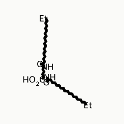 CCC=CCC=CCC=CCC=CCC=CCCCC(=O)NCCCC(NC(=O)CCCC=CCC=CCC=CCC=CCC=CCC)C(=O)O